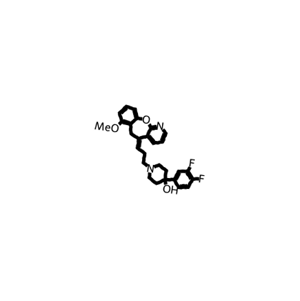 COc1cccc2c1C/C(=C/CCN1CCC(O)(c3ccc(F)c(F)c3)CC1)c1cccnc1O2